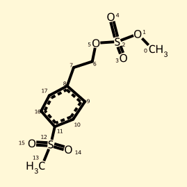 COS(=O)(=O)OCCc1ccc(S(C)(=O)=O)cc1